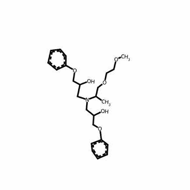 COCCOCC(C)N(CC(O)COc1ccccc1)CC(O)COc1ccccc1